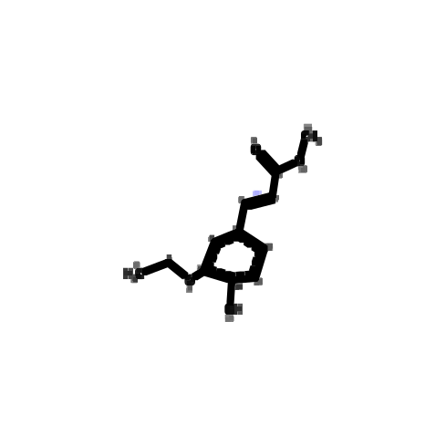 CCOc1cc(/C=C/C(=O)OC)ccc1O